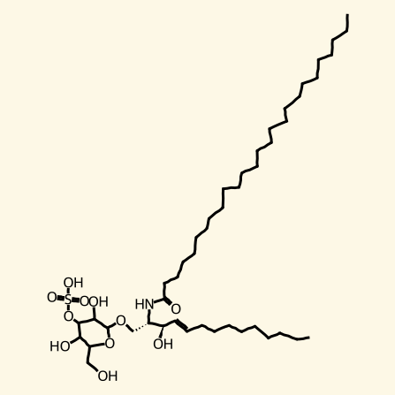 CCCCCCCCC/C=C/[C@@H](O)[C@H](COC1OC(CO)C(O)C(OS(=O)(=O)O)C1O)NC(=O)CCCCCCCCCCCCCCCCCCCCCCCCC